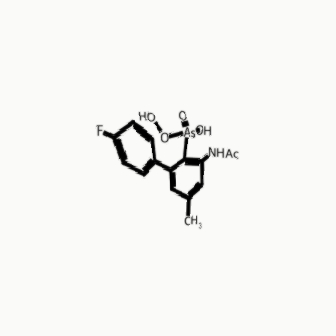 CC(=O)Nc1cc(C)cc(-c2ccc(F)cc2)c1[As](=O)(O)OO